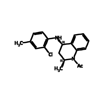 CC(=O)N1c2ccccc2[C@H](Nc2ccc(C)cc2Cl)C[C@@H]1C